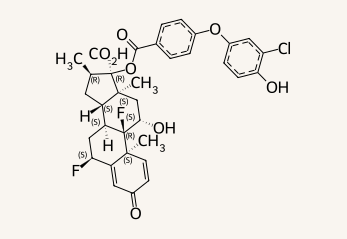 C[C@@H]1C[C@H]2[C@@H]3C[C@H](F)C4=CC(=O)C=C[C@]4(C)[C@@]3(F)[C@@H](O)C[C@]2(C)[C@@]1(OC(=O)c1ccc(Oc2ccc(O)c(Cl)c2)cc1)C(=O)O